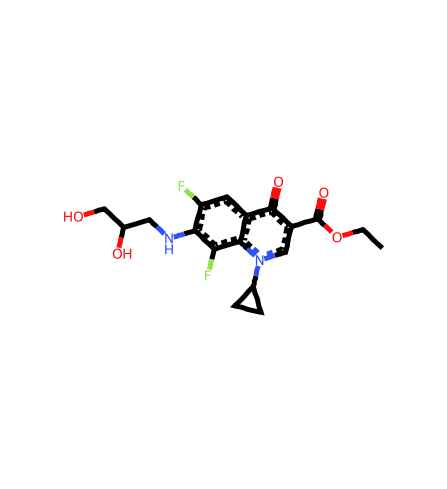 CCOC(=O)c1cn(C2CC2)c2c(F)c(NCC(O)CO)c(F)cc2c1=O